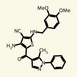 COc1ccc(CNc2sc(C(=O)c3cnn(-c4ccccc4)c3C)c(N)c2C#N)cc1OC